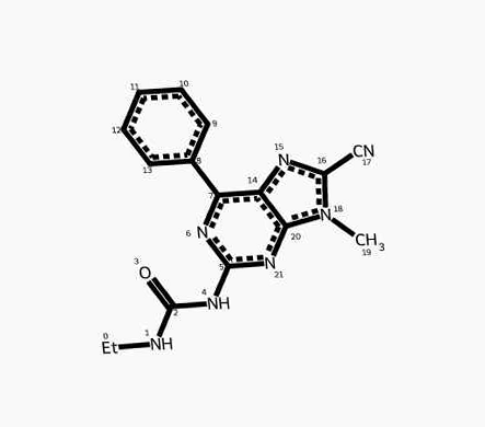 CCNC(=O)Nc1nc(-c2ccccc2)c2nc(C#N)n(C)c2n1